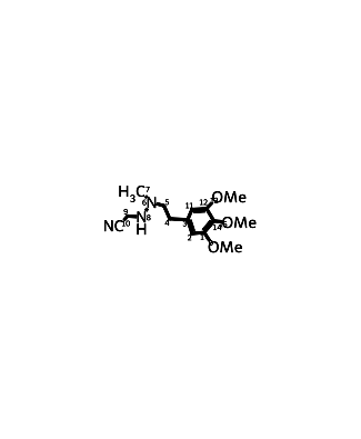 COc1cc(CCN(C)NCC#N)cc(OC)c1OC